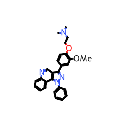 COc1cc(-c2nn(-c3ccccc3)c3c2cnc2ccccc23)ccc1OCCN(C)C